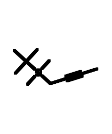 CC#CC[Si](C)(C)C(C)(C)C